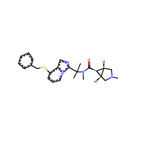 CN1C[C@@H]2[C@H](C1)[C@H]2C(=O)N(C)C(C)(C)c1ncc2c(SCc3ccccc3)cccn12